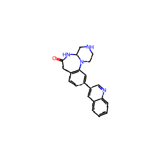 O=C1Cc2ccc(-c3cnc4ccccc4c3)cc2N2CCNCC2N1